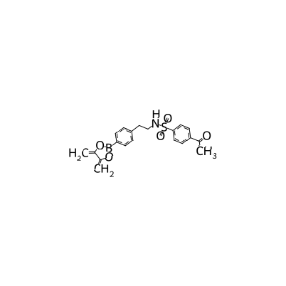 C=C1OB(c2ccc(CCNS(=O)(=O)c3ccc(C(C)=O)cc3)cc2)OC1=C